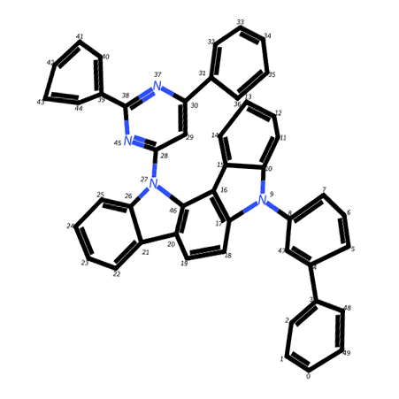 c1ccc(-c2cccc(-n3c4ccccc4c4c3ccc3c5ccccc5n(-c5cc(-c6ccccc6)nc(-c6ccccc6)n5)c34)c2)cc1